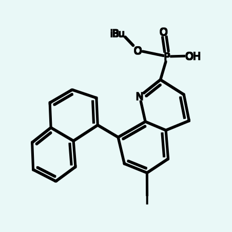 CCC(C)OP(=O)(O)c1ccc2cc(I)cc(-c3cccc4ccccc34)c2n1